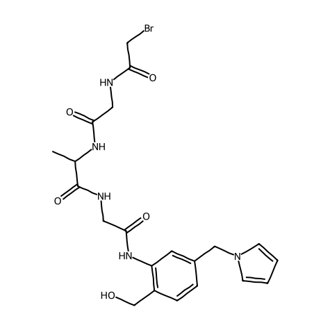 CC(NC(=O)CNC(=O)CBr)C(=O)NCC(=O)Nc1cc(Cn2cccc2)ccc1CO